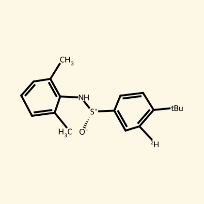 [2H]c1cc([S@+]([O-])Nc2c(C)cccc2C)ccc1C(C)(C)C